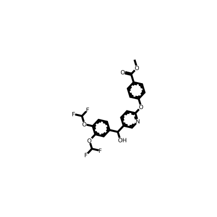 COC(=O)c1ccc(Oc2ccc(C(O)c3ccc(OC(F)F)c(OC(F)F)c3)cn2)cc1